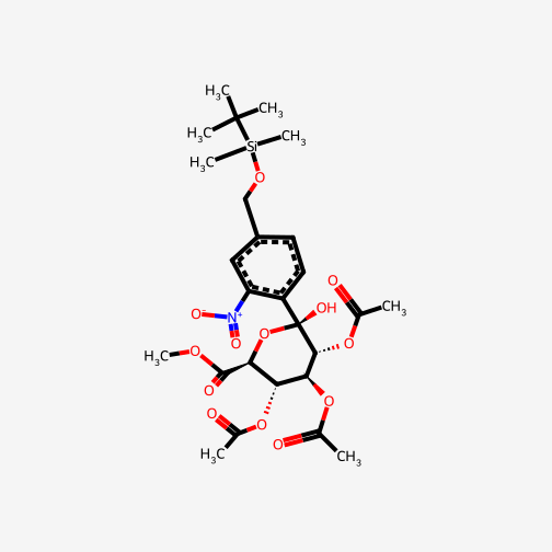 COC(=O)[C@H]1O[C@](O)(c2ccc(CO[Si](C)(C)C(C)(C)C)cc2[N+](=O)[O-])[C@H](OC(C)=O)[C@@H](OC(C)=O)[C@@H]1OC(C)=O